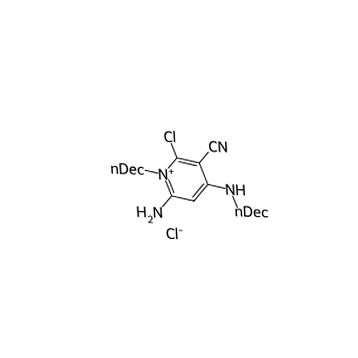 CCCCCCCCCCNc1cc(N)[n+](CCCCCCCCCC)c(Cl)c1C#N.[Cl-]